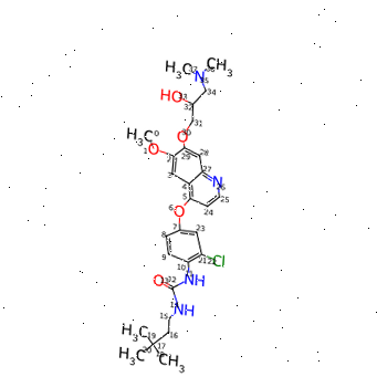 COc1cc2c(Oc3ccc(NC(=O)NCCC(C)(C)C)c(Cl)c3)ccnc2cc1OCC(O)CN(C)C